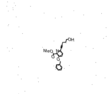 COC(=O)c1nc(C#CCCCO)ccc1OCc1ccccc1